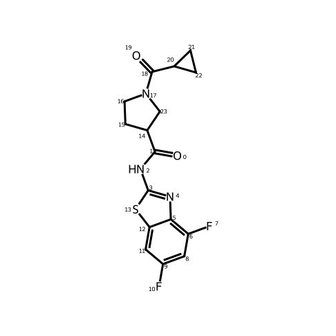 O=C(Nc1nc2c(F)cc(F)cc2s1)C1CCN(C(=O)C2CC2)C1